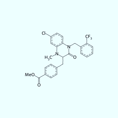 COC(=O)c1ccc(CC2C(=O)N(Cc3ccccc3C(F)(F)F)c3ccc(Cl)cc3N2C)cc1